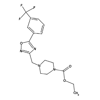 CCOC(=O)N1CCN(Cc2noc(-c3cccc(C(F)(F)F)c3)n2)CC1